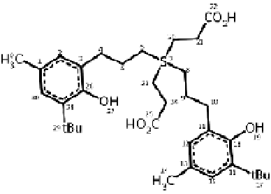 Cc1cc(CCCS(CCCc2cc(C)cc(C(C)(C)C)c2O)(CCC(=O)O)CCC(=O)O)c(O)c(C(C)(C)C)c1